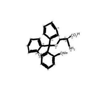 COc1ccccc1C(OC[C@H](N)C(=O)O)(c1ccccc1)c1ccccc1OC